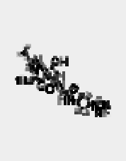 CC(C)(C)[C@@H](C(=O)N1CC(O)CC1C(=O)NCC(=O)Nc1ccc(-n2cncn2)cc1)n1cc(C2CC2)nn1